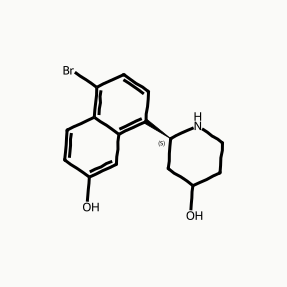 Oc1ccc2c(Br)ccc([C@@H]3CC(O)CCN3)c2c1